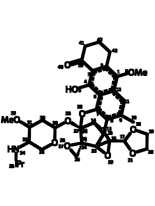 COc1c2c(c(O)c3c4c(c(C)cc13)C1C3OC5(C6OCCO6)OC15[C@]1(CO1)[C@]3(OC1CC(OC)C(NC(C)C)CO1)O4)C(=O)CCC2